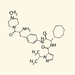 CC(C)n1nccc1C(=O)NC(C(=O)Nc1ccc(CC(N)C(=O)N2CCN(C)CC2)cc1)C1CCCCCC1